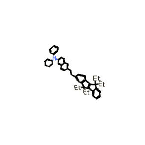 CCC1(CC)C2=C(c3ccccc31)C(CC)(CC)c1cc(/C=C/c3ccc4cc(N(c5ccccc5)c5ccccc5)ccc4c3)ccc12